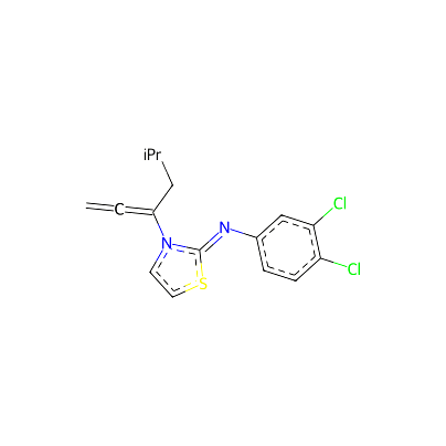 C=C=C(CC(C)C)n1ccsc1=Nc1ccc(Cl)c(Cl)c1